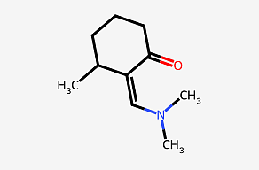 CC1CCCC(=O)C1=CN(C)C